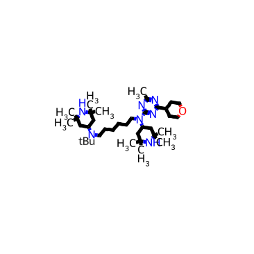 Cc1nc(C2CCOCC2)nc(N(CCCCCCN(C2CC(C)(C)NC(C)(C)C2)C(C)(C)C)C2CC(C)(C)NC(C)(C)C2)n1